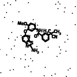 COc1ccc(NC(=O)c2cccc(C(C)(C)C#N)c2)cc1Oc1ccc2nc(N)sc2n1